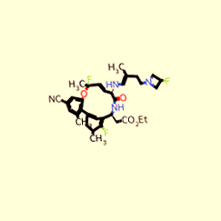 CCOC(=O)C[C@@H]1NC(=O)[C@@H](N/C=C(\C)CCN2CC(F)C2)/C=C/C(C)(F)Oc2cc(C#N)cc(C)c2C2=CC1=C(F)C(C)C2